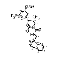 COc1cc([C@H]2OC(=O)N(C(=O)NCc3cncc4cccnc34)C[C@H]2C)cc(C(F)(F)F)c1